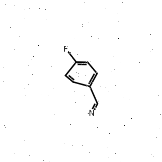 [N]=Cc1ccc(F)cc1